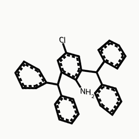 Nc1c(C(c2ccccc2)c2ccccc2)cc(Cl)cc1C(c1ccccc1)c1ccccc1